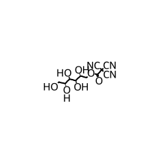 N#CC(C#N)(C#N)C(=O)OC[C@@H](O)[C@@H](O)[C@H](O)[C@H](O)CO